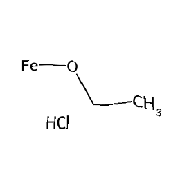 CC[O][Fe].Cl